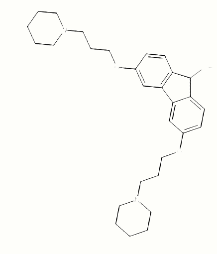 OC1c2ccc(OCCCN3CCCCC3)cc2-c2cc(OCCCN3CCCCC3)ccc21